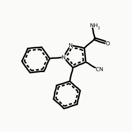 N#Cc1c(C(N)=O)nn(-c2ccccc2)c1-c1ccccc1